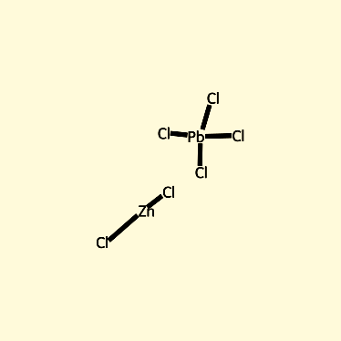 [Cl][Pb]([Cl])([Cl])[Cl].[Cl][Zn][Cl]